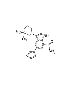 NC(=O)c1cc(-c2ccsc2)cc2c(C3CCCS(O)(O)C3)c[nH]c12